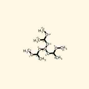 COC(C)O[Si](OC(C)OC)OC(C)OC